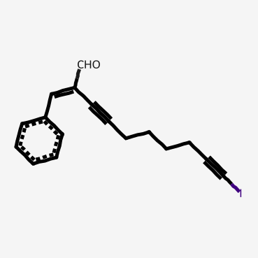 O=C/C(C#CCCCCC#CI)=C/c1ccccc1